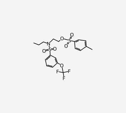 CCCN(CCOS(=O)(=O)c1ccc(C)cc1)S(=O)(=O)c1cccc(OC(F)(F)F)c1